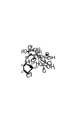 O=P(O)(O)C(Cl)(Cl)P(=O)(O)O.O=P(O)(O)C(Sc1ccc(Cl)cc1)P(=O)(O)O